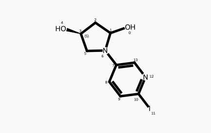 OC1C[C@H](O)CN1c1ccc(I)nc1